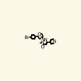 Cn1c(N2CCOC(c3ccc(Br)cc3)C2)nc(-c2ccncc2)cc1=O